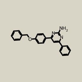 Nc1nc(-c2ccccc2)cc(-c2ccc(OCc3ccccc3)cc2)n1